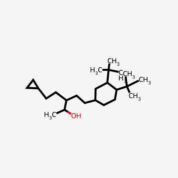 CC(O)C(CCC1CC1)CCC1CCC(C(C)(C)C)C(C(C)(C)C)C1